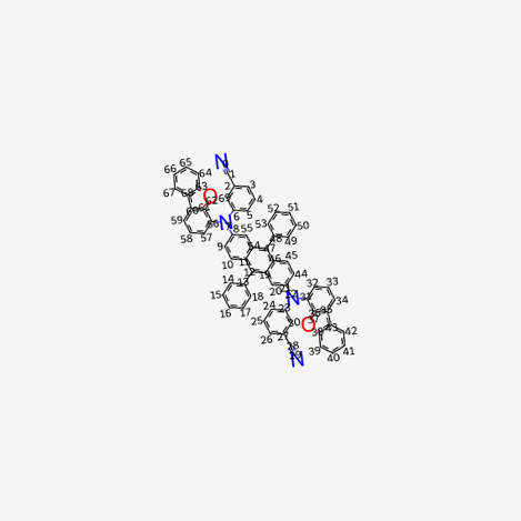 N#Cc1cccc(N(c2ccc3c(-c4ccccc4)c4cc(N(c5cccc(C#N)c5)c5cccc6c5oc5ccccc56)ccc4c(-c4ccccc4)c3c2)c2cccc3c2oc2ccccc23)c1